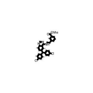 COC(=O)c1cccc(CCNc2ncnc3ccc(C(c4ccc(Cl)cc4)c4ccc(Cl)cc4)cc23)c1